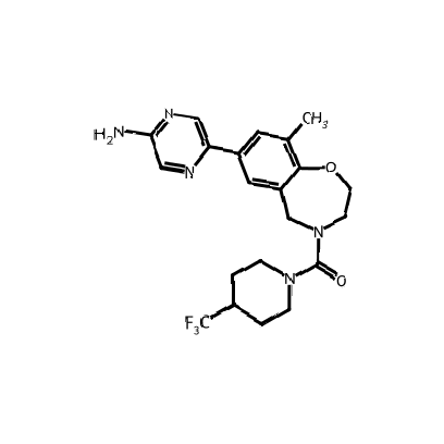 Cc1cc(-c2cnc(N)cn2)cc2c1OCCN(C(=O)N1CCC(C(F)(F)F)CC1)C2